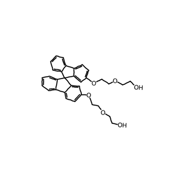 OCCOCCOc1ccc2c(c1)C1(c3ccccc3-2)c2ccccc2-c2ccc(OCCOCCO)cc21